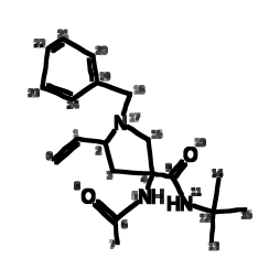 C=CC1CC(NC(C)=O)(C(=O)NC(C)(C)C)CN1Cc1ccccc1